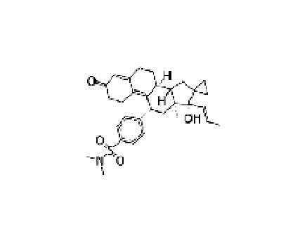 CC=C[C@]1(O)C2(CC2)C[C@H]2[C@@H]3CCC4=CC(=O)CCC4=C3[C@@H](c3ccc(S(=O)(=O)N(C)C)cc3)C[C@@]21C